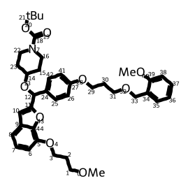 COCCCOc1cccc2cc(C(OC3CCN(C(=O)OC(C)(C)C)CC3)c3ccc(OCCCOCc4ccccc4OC)cc3)oc12